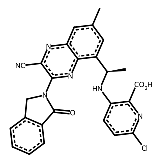 Cc1cc([C@@H](C)Nc2ccc(Cl)nc2C(=O)O)c2nc(N3Cc4ccccc4C3=O)c(C#N)nc2c1